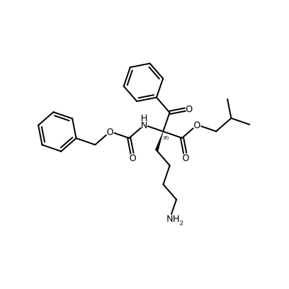 CC(C)COC(=O)[C@](CCCCN)(NC(=O)OCc1ccccc1)C(=O)c1ccccc1